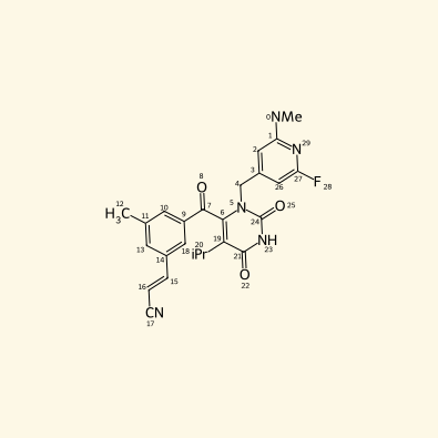 CNc1cc(Cn2c(C(=O)c3cc(C)cc(/C=C/C#N)c3)c(C(C)C)c(=O)[nH]c2=O)cc(F)n1